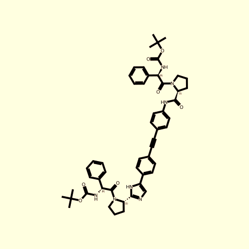 CC(C)(C)OC(=O)N[C@@H](C(=O)N1CCC[C@H]1C(=O)Nc1ccc(C#Cc2ccc(-c3cnc([C@@H]4CCCN4C(=O)[C@H](NC(=O)OC(C)(C)C)c4ccccc4)[nH]3)cc2)cc1)c1ccccc1